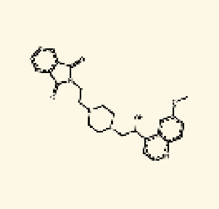 COc1ccc2nccc([C@@H](O)CN3CCN(CCN4C(=O)c5ccccc5C4=O)CC3)c2c1